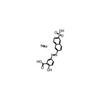 O=C(O)c1cc(N=Nc2ccc3cc(S(=O)(=O)O)ccc3c2)ccc1O.[Na].[Na]